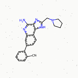 N#Cc1ccccc1-c1ccc2c(c1)nc(N)c1nc(CN3CCCC3)[nH]c12